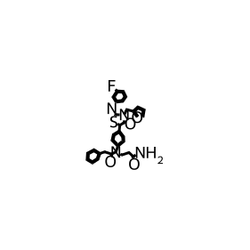 NC(=O)CCN(C(=O)Cc1ccccc1)c1ccc(C2SC(=Nc3cccc(F)c3)N(Cc3ccco3)C2=O)cc1